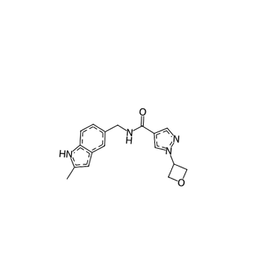 Cc1cc2cc(CNC(=O)c3cnn(C4COC4)c3)ccc2[nH]1